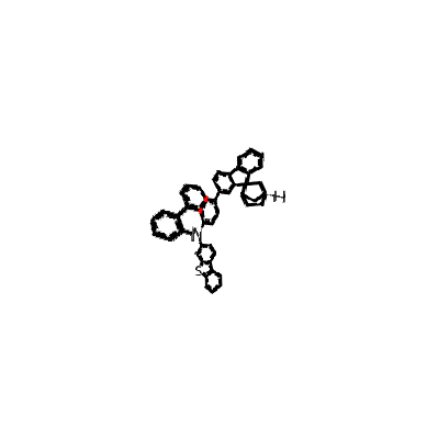 c1ccc(-c2ccccc2N(c2ccc(-c3ccc4c(c3)C3(C[C@H]5CCC3C5)c3ccccc3-4)cc2)c2ccc3c(c2)sc2ccccc23)cc1